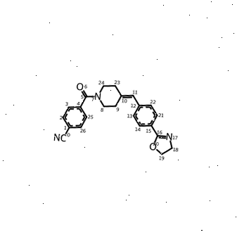 N#Cc1ccc(C(=O)N2CCC(=Cc3ccc(C4=NCCO4)cc3)CC2)cc1